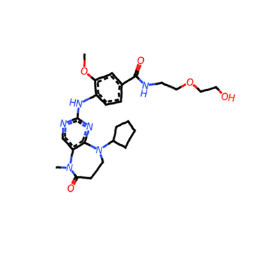 COc1cc(C(=O)NCCOCCO)ccc1Nc1ncc2c(n1)N(C1CCCC1)CCC(=O)N2C